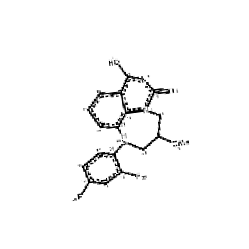 COC1Cn2c(=O)nc(O)c3cccc(c32)[SH](c2ccc(F)cc2F)C1